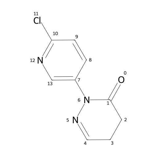 O=C1CCC=NN1c1ccc(Cl)nc1